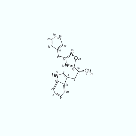 C[C@@H](Cc1c[nH]c2ccccc12)c1nc(Cc2ccccc2)no1